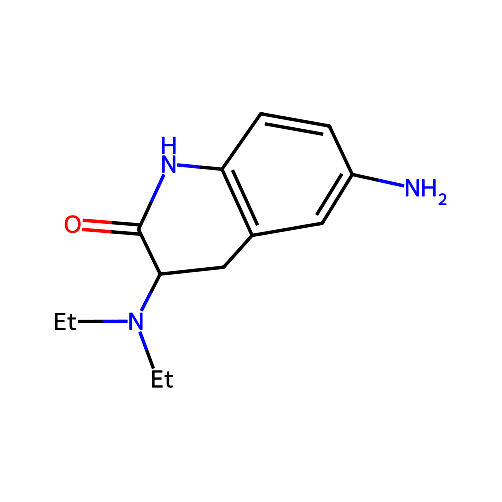 CCN(CC)C1Cc2cc(N)ccc2NC1=O